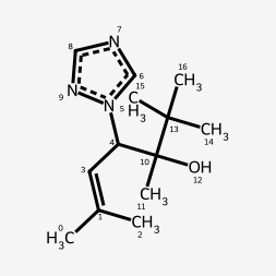 CC(C)=CC(n1cncn1)C(C)(O)C(C)(C)C